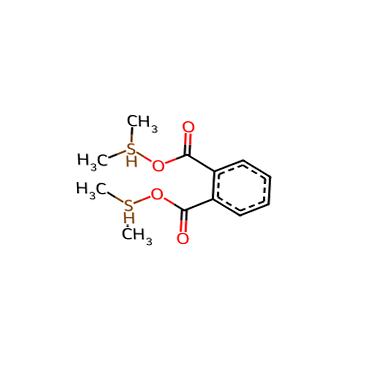 C[SH](C)OC(=O)c1ccccc1C(=O)O[SH](C)C